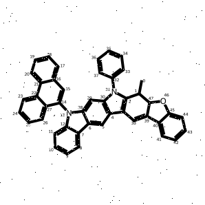 CC1c2c(c3cc4c5ccccc5n(-c5cc6ccccc6c6ccccc56)c4cc3n2-c2ccccc2)C=C2c3ccccc3OC21